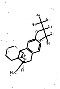 [2H]C([2H])([2H])C([2H])(Oc1ccc2c(c1)[C@]13CCCC[C@@H]1[C@H](C2)N(C)CC3)C([2H])([2H])[2H]